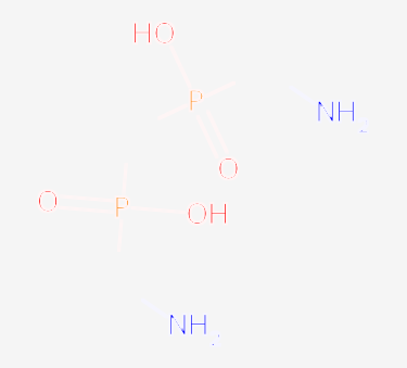 NCP(=O)(O)CP(=O)(O)CN